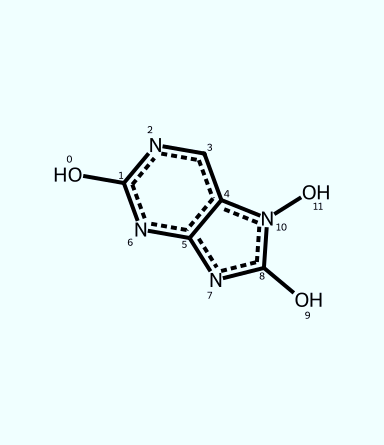 Oc1ncc2c(n1)nc(O)n2O